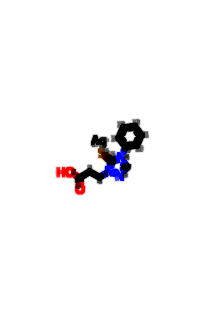 O=C(O)CCn1ncn(-c2ccccc2)c1=S.[Ag]